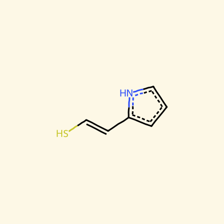 S/C=C/c1ccc[nH]1